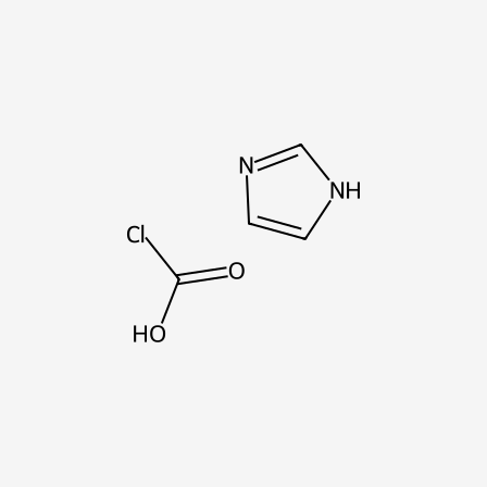 O=C(O)Cl.c1c[nH]cn1